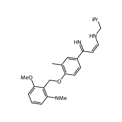 CNc1cccc(OC)c1COc1ccc(C(=N)/C=C\NCC(C)C)cc1C